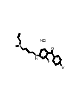 C=CCN(C)CC=CCNc1ccc(C(=O)c2ccc(Br)cc2)c(F)c1.Cl